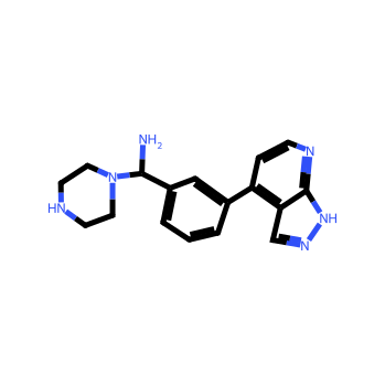 NC(c1cccc(-c2ccnc3[nH]ncc23)c1)N1CCNCC1